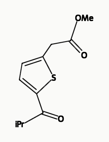 COC(=O)Cc1ccc(C(=O)C(C)C)s1